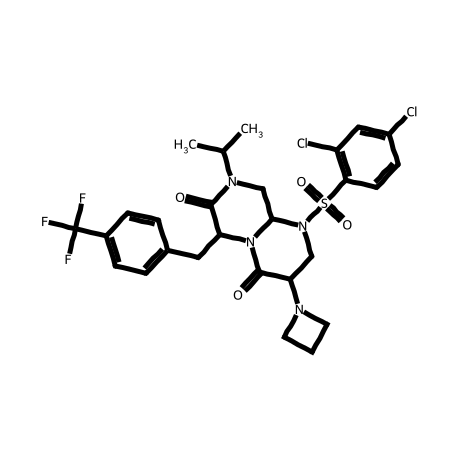 CC(C)N1CC2N(C(=O)C(N3CCC3)CN2S(=O)(=O)c2ccc(Cl)cc2Cl)C(Cc2ccc(C(F)(F)F)cc2)C1=O